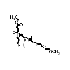 CCOC(=O)CCC(=O)N(CCCN)CCCNC(=O)CCOCCOCCOC